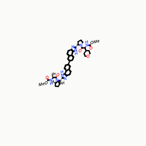 COC(=O)N[C@H](C(=O)N1[C@@H]2CC[C@@H](C2)[C@H]1c1nc2ccc3cc(-c4ccc5c(ccc6nc([C@@H]7CCCN7C(=O)[C@@H](NC(=O)OC)C7CCOCC7)[nH]c65)c4)ccc3c2[nH]1)C(C)C